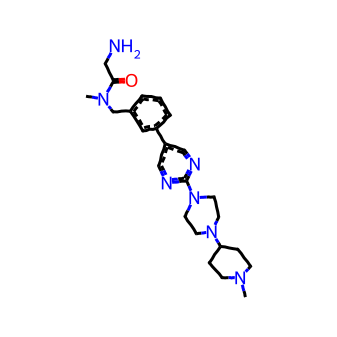 CN1CCC(N2CCN(c3ncc(-c4cccc(CN(C)C(=O)CN)c4)cn3)CC2)CC1